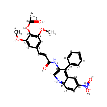 COc1cc(/C=C/C(=O)Nc2cnc3ccc([N+](=O)[O-])cc3c2-c2ccccc2)cc(OC)c1OC(C)=O